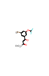 CCOC(=O)C(=O)C=C([O-])c1cc(Br)cc(OC(F)F)c1.[Li+]